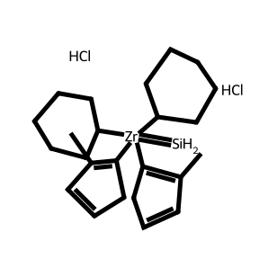 CC1=[C]([Zr](=[SiH2])([C]2=C(C)C=CC2)([CH]2CCCCC2)[CH]2CCCCC2)CC=C1.Cl.Cl